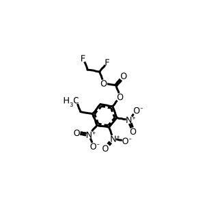 CCc1cc(OC(=O)OC(F)CF)c([N+](=O)[O-])c([N+](=O)[O-])c1[N+](=O)[O-]